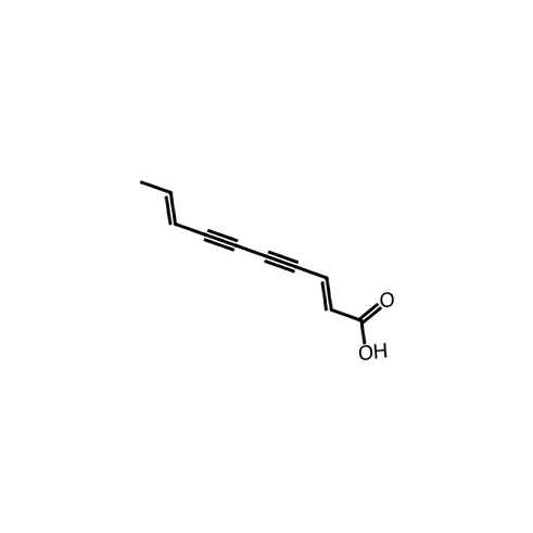 CC=CC#CC#CC=CC(=O)O